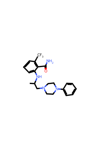 CC(CN1CCN(c2ccccc2)CC1)Nc1cccc(C(F)(F)F)c1C(N)=O